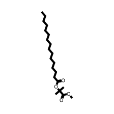 CCCCCCCCCCCCCCCC(=O)OC(C)(C)C(=O)OC